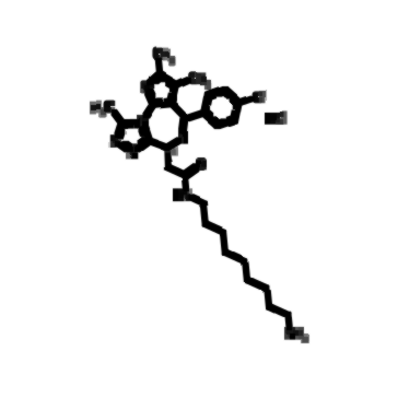 Cc1sc2c(c1C)C(c1ccc(Cl)cc1)=N[C@@H](CC(=O)NCCCCCCCCCN)c1nnc(C)n1-2.Cl